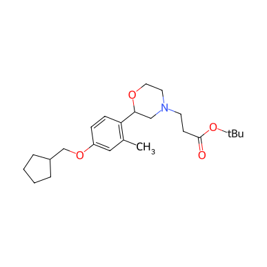 Cc1cc(OCC2CCCC2)ccc1C1CN(CCC(=O)OC(C)(C)C)CCO1